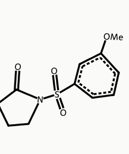 COc1cccc(S(=O)(=O)N2CCCC2=O)c1